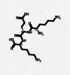 NCCCC[C@H](NC(=O)[C@H](CCC(=O)O)NC(=O)[C@@H](N)CCCCN)C(=O)O